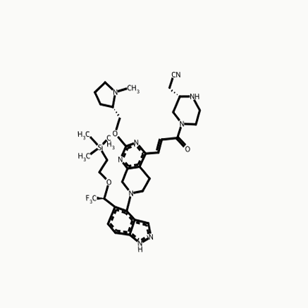 CN1CCC[C@H]1COc1nc(C=CC(=O)N2CCN[C@@H](CC#N)C2)c2c(n1)CN(c1c([C@H](OCC[Si](C)(C)C)C(F)(F)F)ccc3[nH]ncc13)CC2